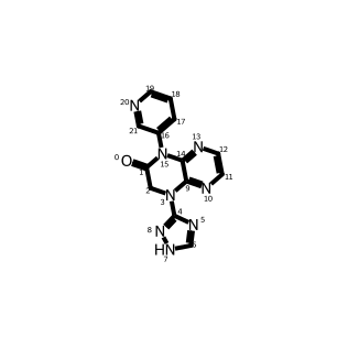 O=C1CN(c2nc[nH]n2)c2nccnc2N1c1cccnc1